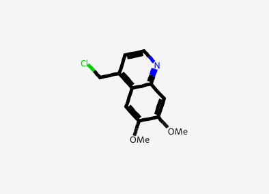 COc1cc2nccc(CCl)c2cc1OC